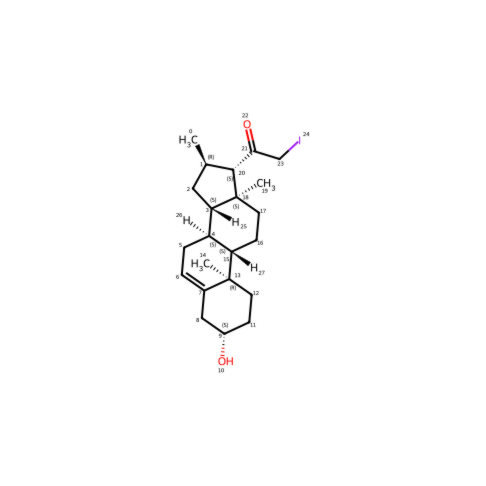 C[C@@H]1C[C@H]2[C@@H]3CC=C4C[C@@H](O)CC[C@]4(C)[C@H]3CC[C@]2(C)[C@H]1C(=O)CI